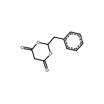 O=C1CC(=O)OC(Cc2ccccc2)O1